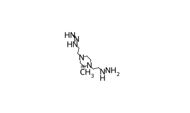 C[C@@H]1CN(CCNN=N)CCN1CCNN